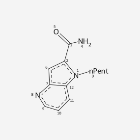 CCCCCn1c(C(N)=O)cc2ncccc21